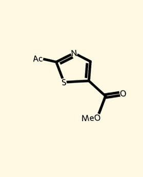 COC(=O)c1cnc(C(C)=O)s1